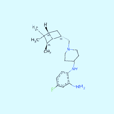 C[C@@H]1C2[C@@H](CN3CCC(Nc4ccc(F)cc4N)CC3)C[C@H]2C1(C)C